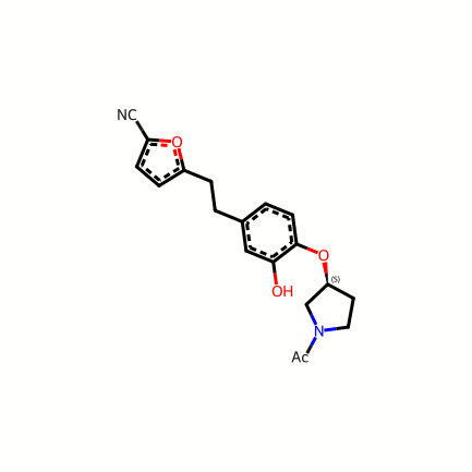 CC(=O)N1CC[C@H](Oc2ccc(CCc3ccc(C#N)o3)cc2O)C1